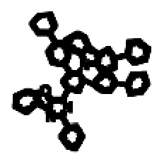 C1=CC(c2ccc(-c3cc(-c4nc(-c5ccccc5)nc5c4oc4ccccc45)cc(-c4ccc(-c5ccccc5)cc4)c3-n3c4ccccc4c4cc(-c5ccccc5)ccc43)cc2)=CCC1